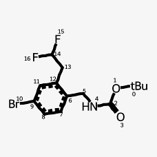 CC(C)(C)OC(=O)NCc1ccc(Br)cc1CC(F)F